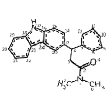 CN(C)C(=O)CC(c1ccccc1)c1ccc2[nH]c3ccccc3c2c1